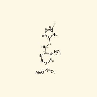 COC(=O)c1cnc(NCc2ccn(C)n2)c([N+](=O)[O-])c1